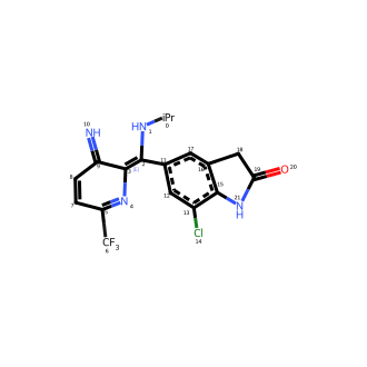 CC(C)N/C(=C1/N=C(C(F)(F)F)C=CC1=N)c1cc(Cl)c2c(c1)CC(=O)N2